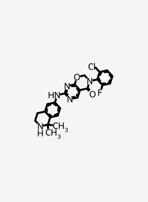 CC1(C)NCCc2cc(Nc3ncc4c(n3)OCN(c3c(F)cccc3Cl)C4=O)ccc21